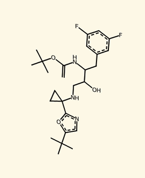 C=C(NC(Cc1cc(F)cc(F)c1)C(O)CNC1(c2ncc(C(C)(C)C)o2)CC1)OC(C)(C)C